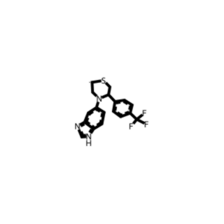 FC(F)(F)c1ccc(C2CS[CH]CN2c2ccc3[nH]cnc3c2)cc1